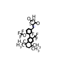 CC1(C)CCC(C)(C)c2cc(C(F)(F)F)c(-c3cc(/C=C4\SC(=O)NC4=O)ccc3OC(F)(F)F)cc21